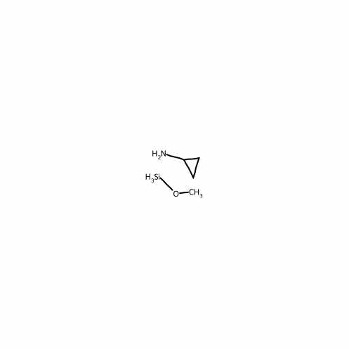 CO[SiH3].NC1CC1